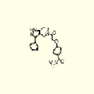 NC(=O)c1ccc(OCC(=O)N2CCc3[nH]nc(-c4ccccc4)c3C2)cc1